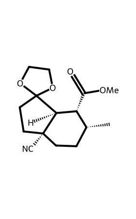 COC(=O)[C@@H]1[C@H](C)CC[C@@]2(C#N)CCC3(OCCO3)[C@@H]12